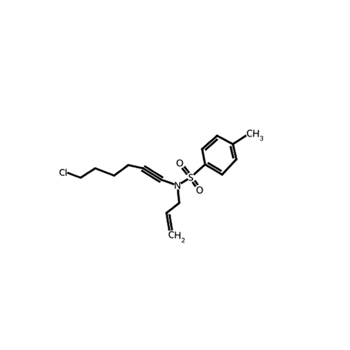 C=CCN(C#CCCCCCl)S(=O)(=O)c1ccc(C)cc1